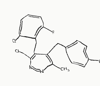 Cc1nnc(Cl)c(-c2c(F)cccc2Cl)c1Cc1ccc(Cl)cc1